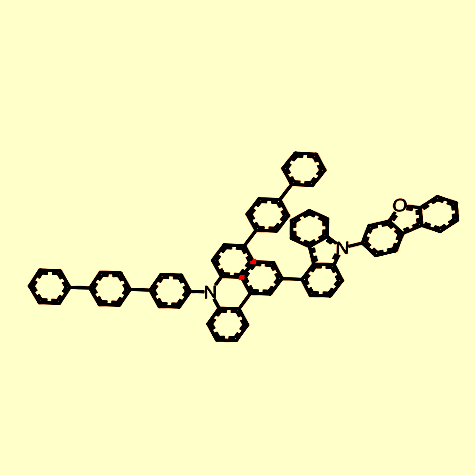 c1ccc(-c2ccc(-c3ccc(N(c4ccc(-c5ccc(-c6ccccc6)cc5)cc4)c4ccccc4-c4cccc(-c5cccc6c5c5ccccc5n6-c5ccc6c(c5)oc5ccccc56)c4)cc3)cc2)cc1